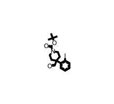 CC(C)(C)OC(=O)N1CCC(C=O)(c2ccccc2I)CC1